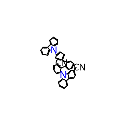 N#Cc1ccc2c3ccccc3n(-c3cccc(C#N)c3-c3ccccc3-c3ccc(-n4c5ccccc5c5ccccc54)cc3)c2c1